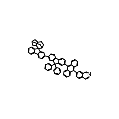 c1ccc(C2(c3ccccc3)c3cc(-c4ccc5c(c4)C4(c6ccccc6-5)C5CCC6CC(C5)CC64)ccc3-c3ccc(-c4c5ccccc5c(-c5ccc6ccncc6c5)c5ccccc45)cc32)cc1